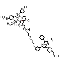 COc1ccc(C2=N[C@@H](c3ccc(Cl)cc3)[C@@H](c3ccc(Cl)cc3)N2C(=O)N2CCN(CC(=O)NCCCCCCCCCc3cccc(-c4cc(N5CCN(CCO)CC5)n5nc(C)c(-c6ccccc6)c5n4)c3)CC2)c(OC(C)C)c1